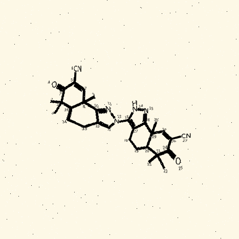 CC1(C)C(=O)C(C#N)=CC2(C)c3nn(-c4[nH]nc5c4CCC4C(C)(C)C(=O)C(C#N)=CC54C)cc3CCC12